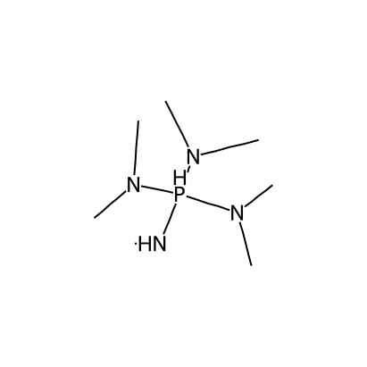 CN(C)[PH]([NH])(N(C)C)N(C)C